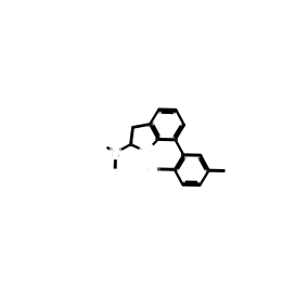 Cc1ccc(Cl)c(-c2cccc3c2OC(N(C)C(=O)O)C3)c1